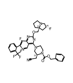 N#CC[C@H]1CN(c2nc(OC[C@@]34CCCN3C[C@H](F)C4)nc3c(F)c(-c4ccccc4C(F)(F)F)ncc23)CCN1C(=O)OCc1ccccc1